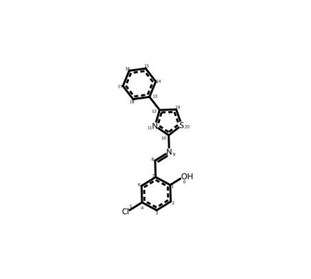 Oc1ccc(Cl)cc1/C=N/c1nc(-c2ccccc2)cs1